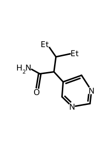 CCC(CC)C(C(N)=O)c1cncnc1